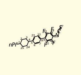 CCCC1CCC(c2ccc(-c3c(F)c(F)c(N=C=S)c(F)c3F)cc2)CC1